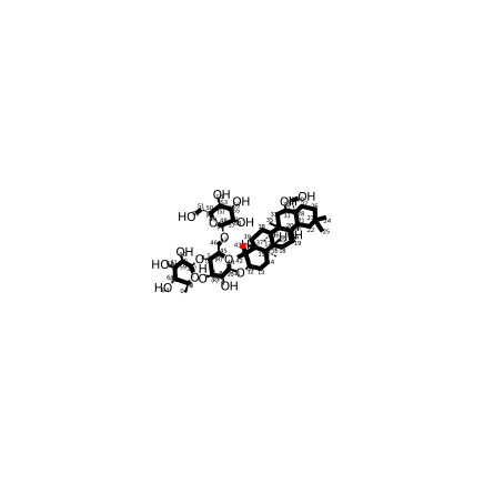 C[C@@H]1O[C@@H](O[C@H]2[C@H](O)[C@@H](O)[C@H](O[C@H]3CC[C@]4(C)[C@H]5CC=C6[C@@H]7CC(C)(C)CC[C@]7(CO)[C@@H](O)C[C@@]6(C)[C@]5(C)CC[C@H]4C3(C)C)O[C@@H]2CO[C@@H]2O[C@H](CO)[C@@H](O)[C@H](O)[C@H]2O)[C@H](O)[C@H](O)[C@H]1O